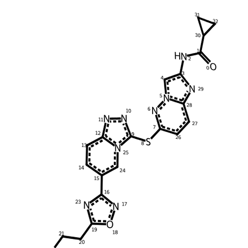 O=C(Nc1cn2nc(Sc3nnc4ccc(-c5noc(CCO)n5)cn34)ccc2n1)C1CC1